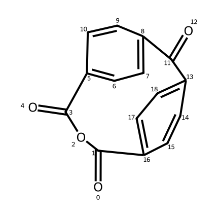 O=c1oc(=O)c2ccc(cc2)c(=O)c2ccc1cc2